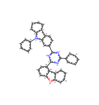 c1ccc(-c2nc(-c3ccc4c5ccccc5n(-c5ccccc5)c4c3)nc(-c3cccc4oc5ccccc5c34)n2)cc1